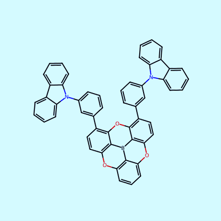 c1cc(-c2ccc3c4c2Oc2c(-c5cccc(-n6c7ccccc7c7ccccc76)c5)ccc5c2B4c2c(cccc2O5)O3)cc(-n2c3ccccc3c3ccccc32)c1